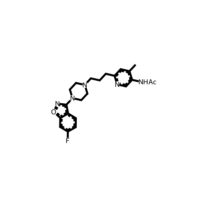 CC(=O)Nc1cnc(CCCN2CCN(c3noc4cc(F)ccc34)CC2)cc1C